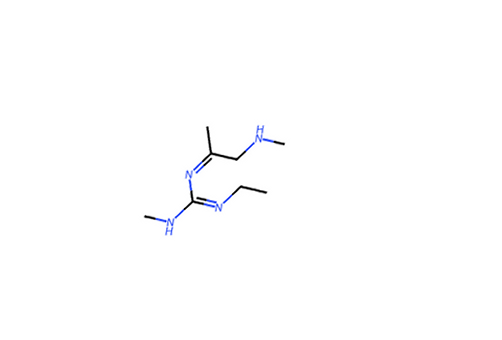 CC/N=C(\N=C(\C)CNC)NC